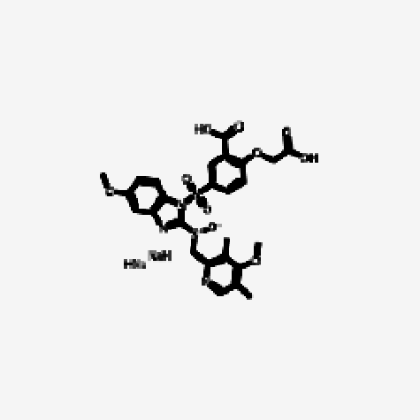 COc1ccc2c(c1)nc([S+]([O-])Cc1ncc(C)c(OC)c1C)n2S(=O)(=O)c1ccc(OCC(=O)O)c(C(=O)O)c1.[NaH].[NaH]